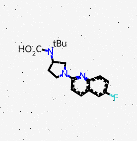 CC(C)(C)N(C(=O)O)C1CCN(c2ccc3cc(F)ccc3n2)C1